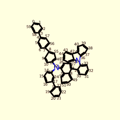 c1ccc(-c2ccc(-c3ccc(N(c4cccc(-c5ccccc5)c4)c4ccc(-c5ccccc5-n5c6ccccc6c6ccccc65)c5ccccc45)cc3)cc2)cc1